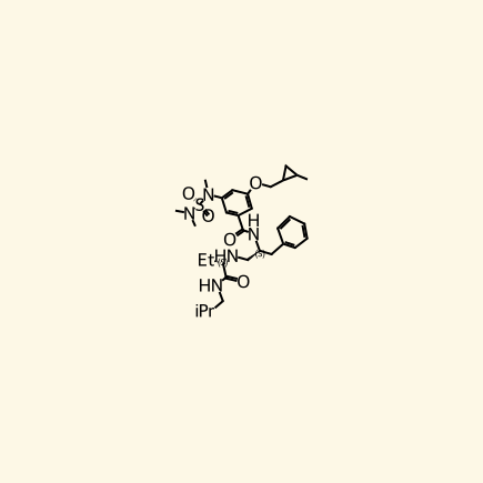 CC[C@H](NC[C@H](Cc1ccccc1)NC(=O)c1cc(OCC2CC2C)cc(N(C)S(=O)(=O)N(C)C)c1)C(=O)NCC(C)C